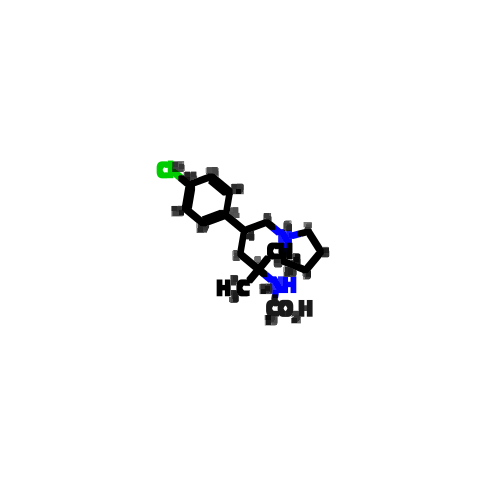 CC(C)(CC(CN1CCCC1)c1ccc(Cl)cc1)NC(=O)O